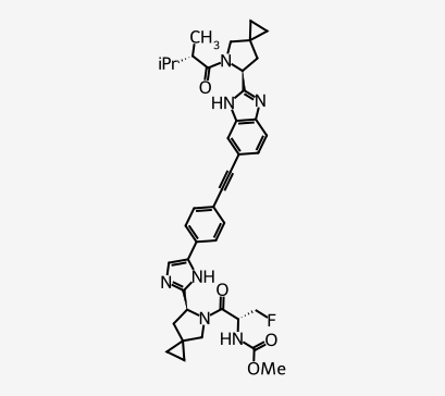 COC(=O)N[C@@H](CF)C(=O)N1CC2(CC2)C[C@H]1c1ncc(-c2ccc(C#Cc3ccc4nc([C@@H]5CC6(CC6)CN5C(=O)[C@@H](C)C(C)C)[nH]c4c3)cc2)[nH]1